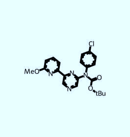 COc1cccc(-c2cncc(N(C(=O)OC(C)(C)C)c3ccc(Cl)cc3)n2)n1